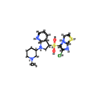 CN1CCCC(N2CC(S(=O)(=O)c3c(Cl)nc4sccn34)c3cccnc32)C1